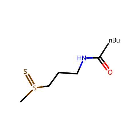 CCCCC(=O)NCCCS(C)=S